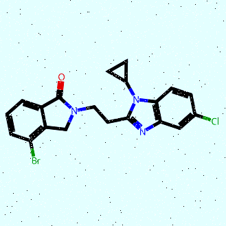 O=C1c2cccc(Br)c2CN1CCc1nc2cc(Cl)ccc2n1C1CC1